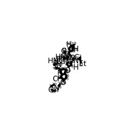 CCC1CC1(NC(=O)[C@@H]1C[C@@H](Oc2cc(-c3csc(NC(C)C)n3)nc3c(Cl)c(OCCN4CCOCC4)ccc23)CN1C(=O)[C@@H](NC(=O)OC1C[C@@H]2C[C@@H]2C1)C(C)(C)C)C(=O)O